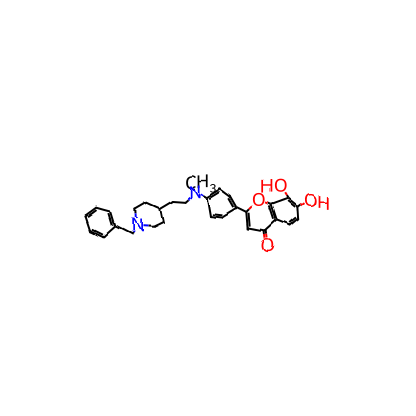 CN(CCC1CCN(Cc2ccccc2)CC1)c1ccc(-c2cc(=O)c3ccc(O)c(O)c3o2)cc1